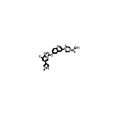 CB(O)N1CCN(c2cnc3ccc(Sc4nnc5c(F)cc(-c6cnn(C)c6)cn45)cc3c2)[C@@H](C)C1